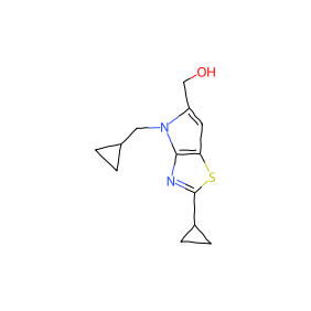 OCc1cc2sc(C3CC3)nc2n1CC1CC1